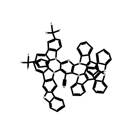 N#Cc1c(-n2c3ccccc3c3cc4sc5ccccc5c4cc32)c(-n2c3ccc(C(F)(F)F)cc3c3cc(C(F)(F)F)ccc32)nc(-n2c3ccccc3c3cc4sc5ccccc5c4cc32)c1-n1c2ccccc2c2cc3sc4ccccc4c3cc21